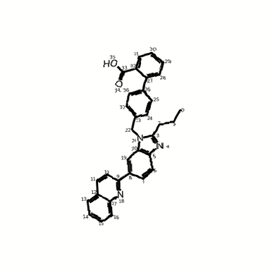 CCCc1nc2ccc(-c3ccc4ccccc4n3)cc2n1Cc1ccc(-c2ccccc2C(=O)O)cc1